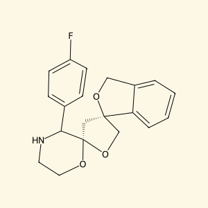 Fc1ccc(C2NCCO[C@@]23C[C@]2(CO3)OCc3ccccc32)cc1